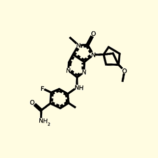 COC12CCC(n3c(=O)n(C)c4cnc(Nc5cc(F)c(C(N)=O)cc5C)nc43)(C1)C2